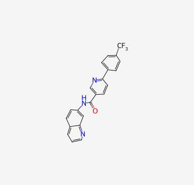 O=C(Nc1ccc2cccnc2c1)c1ccc(-c2ccc(C(F)(F)F)cc2)nc1